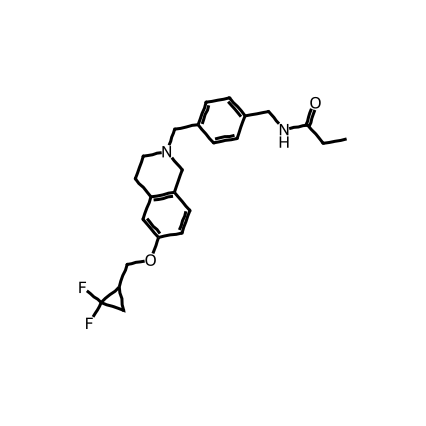 CCC(=O)NCc1ccc(CN2CCc3cc(OCC4CC4(F)F)ccc3C2)cc1